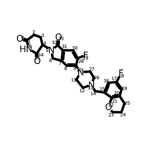 O=C1CCC(N2Cc3cc(N4CCN(Cc5cc(F)cc6c5OCCC6)CC4)c(F)cc3C2=O)C(=O)N1